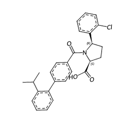 CC(C)c1ccccc1-c1ccc(C(=O)N2[C@@H](c3ccccc3Cl)CC[C@H]2C(=O)O)cc1